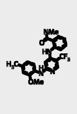 CNC(=O)c1ccccc1Nc1cc(Nc2ccc(C)cc2OC)ncc1C(F)(F)F